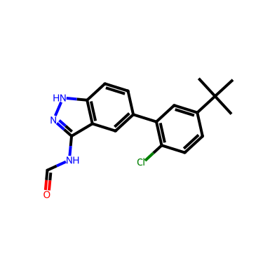 CC(C)(C)c1ccc(Cl)c(-c2ccc3[nH]nc(NC=O)c3c2)c1